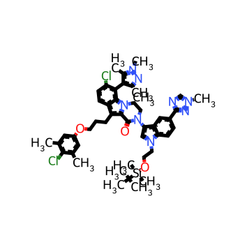 Cc1cc(OCCCc2c3n(c4c(-c5c(C)nn(C)c5C)c(Cl)ccc24)[C@H](C)CN(c2cn(CCO[Si](C)(C)C(C)(C)C)c4ccc(-c5ncn(C)n5)cc24)C3=O)cc(C)c1Cl